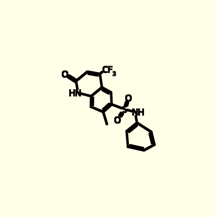 Cc1cc2[nH]c(=O)cc(C(F)(F)F)c2cc1S(=O)(=O)Nc1ccccc1